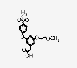 COCCOc1cc(CC(=O)O)cc(Oc2ccc(S(C)(=O)=O)cc2)c1